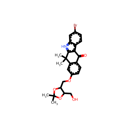 CC1(C)OC(CO)C(COc2ccc3c(c2)C(C)(C)c2[nH]c4cc(Br)ccc4c2C3=O)O1